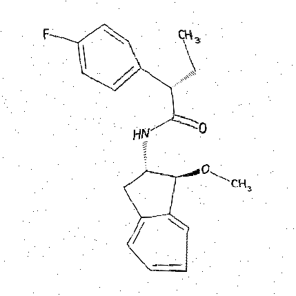 CC[C@H](C(=O)N[C@H]1Cc2ccccc2[C@@H]1OC)c1ccc(F)cc1